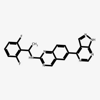 CC(Nc1ncc2cc(-c3ncnc4[nH]ncc34)ccc2n1)c1c(F)cccc1F